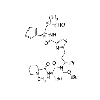 CCC(C)OCN(C(=O)[C@@H](NC(=O)C1CCCCN1C)C(C)CC)C(CCc1nc(C(=O)N[C@@H](Cc2ccccc2)C[C@H](C)C=O)cs1)C(C)C